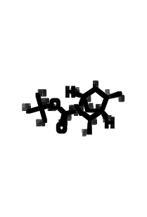 C[C@@H]1C[C@@H]2C[C@H]1[C@@H](C)N2C(=O)OC(C)(C)C